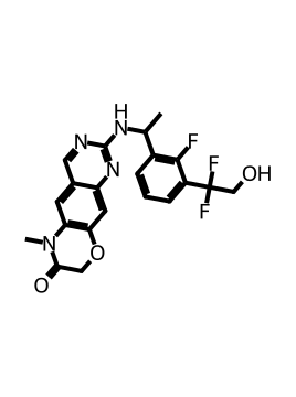 CC(Nc1ncc2cc3c(cc2n1)OCC(=O)N3C)c1cccc(C(F)(F)CO)c1F